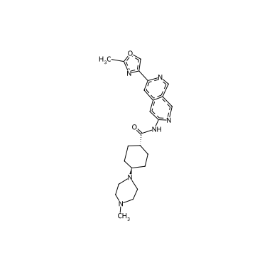 Cc1nc(-c2cc3cc(NC(=O)[C@H]4CC[C@H](N5CCN(C)CC5)CC4)ncc3cn2)co1